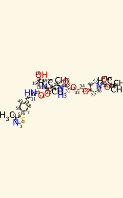 Cc1ncsc1-c1ccc(CCNC(=O)[C@@H]2C[C@@H](O)CN2C(=O)C(C)(C)[C@H](C)NC(=O)COCCOC2CCN(C(=O)OC(C)(C)C)CC2)cc1